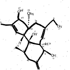 CC1=C[C@H]2[C@@]3(O)[C@H](C)CC(=O)C(O)[C@@H]3C=C(CO)C[C@]2(O)C1O